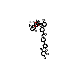 CN(c1cccc(C2CCN(CC(=O)N3CCC(Oc4cccc(N5[C@@H]6CC[C@H]5CN(c5cc(-c7ccccc7O)nnc5N)C6)c4)CC3)CC2)c1)C1CCC(=O)NC1=O